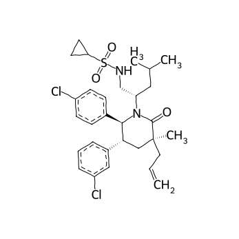 C=CC[C@@]1(C)C[C@H](c2cccc(Cl)c2)[C@@H](c2ccc(Cl)cc2)N([C@H](CNS(=O)(=O)C2CC2)CC(C)C)C1=O